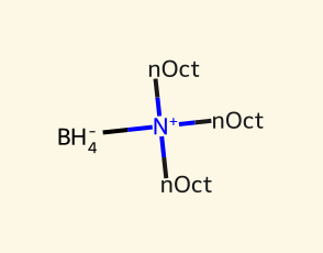 CCCCCCCC[N+](C)(CCCCCCCC)CCCCCCCC.[BH4-]